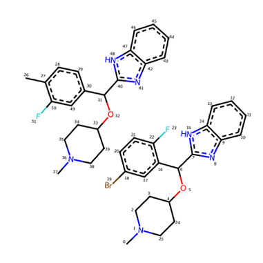 CN1CCC(OC(c2nc3ccccc3[nH]2)c2cc(Br)ccc2F)CC1.Cc1ccc(C(OC2CCN(C)CC2)c2nc3ccccc3[nH]2)cc1F